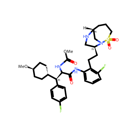 COC(=O)NC(C(=O)Nc1cccc(F)c1CC[C@H]1CN[C@@H]2CCCS(=O)(=O)N1C2)[C@@H](c1ccc(F)cc1)[C@H]1CC[C@H](OC)CC1